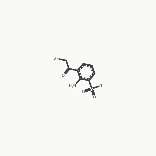 CC(=O)CC(=O)c1cccc(S(=O)(=O)Cl)c1N